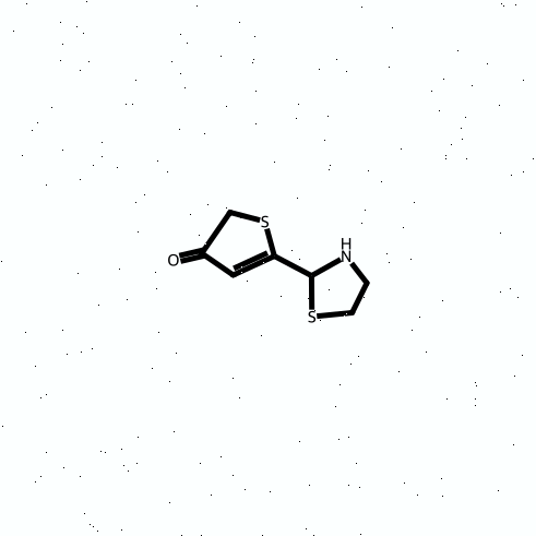 O=C1C=C(C2NCCS2)SC1